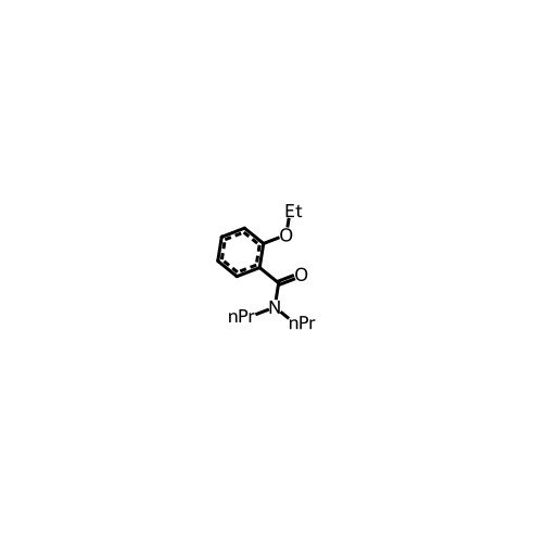 CCCN(CCC)C(=O)c1ccccc1OCC